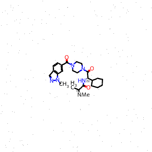 CN[C@@H](C)C(=O)N[C@H](C(=O)N1CCN(C(=O)c2ccc3cnn(C)c3c2)CC1)C1CCCCC1